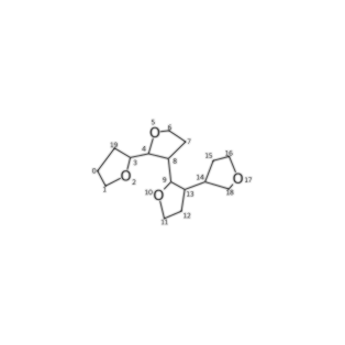 C1COC(C2OCCC2C2OCCC2C2CCOC2)C1